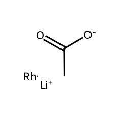 CC(=O)[O-].[Li+].[Rh]